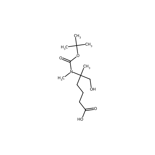 CN(C(=O)OC(C)(C)C)C(C)(CO)CCCC(=O)O